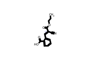 CCCOC(=O)/C(C#N)=C/c1ccccc1C(=O)O